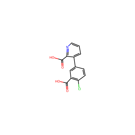 O=C(O)c1cc(-c2cccnc2C(=O)O)ccc1Cl